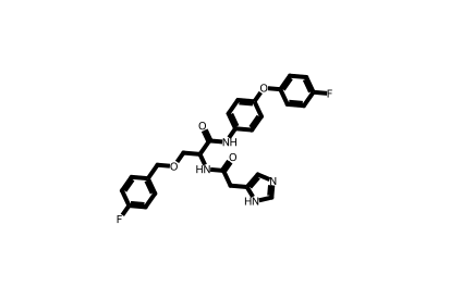 O=C(Cc1cnc[nH]1)NC(COCc1ccc(F)cc1)C(=O)Nc1ccc(Oc2ccc(F)cc2)cc1